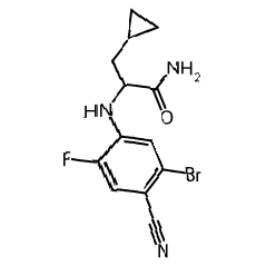 N#Cc1cc(F)c(NC(CC2CC2)C(N)=O)cc1Br